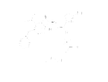 CC(C)(O/N=C(\C(=O)N[C@@H]1C(=O)N2C(C(=O)[O-])=C(C[n+]3ccccc3)CS[C@H]12)c1csc(N)n1)C(=O)O.OBO